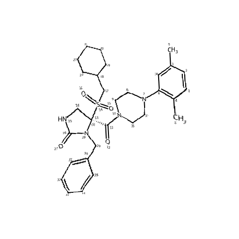 Cc1ccc(C)c(N2CCN(C(=O)[C@@]3(S(=O)(=O)CC4CCCCC4)CNC(=O)N3Cc3ccccc3)CC2)c1